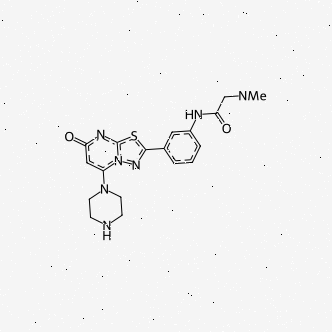 CNCC(=O)Nc1cccc(-c2nn3c(N4CCNCC4)cc(=O)nc3s2)c1